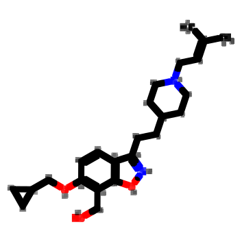 CC(C)=CCN1CCC(CCc2noc3c(CO)c(OCC4CC4)ccc23)CC1